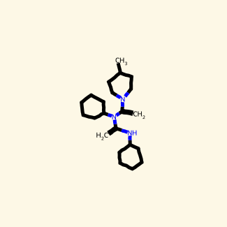 C=C(NC1CCCCC1)N(C(=C)N1CCC(C)CC1)C1CCCCC1